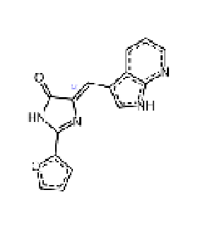 O=C1NC(c2ccco2)=N/C1=C\c1c[nH]c2ncccc12